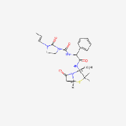 CC=CN1CCN(C(=O)NC(C(=O)N[C@@]2(C(=O)O)N3C(=O)C[C@H]3SC2(C)C)c2ccccc2)C1=O